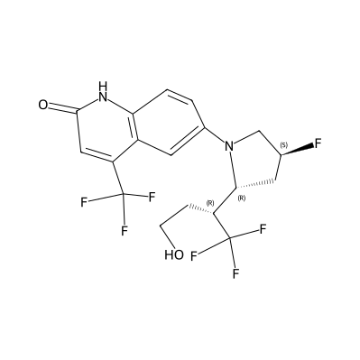 O=c1cc(C(F)(F)F)c2cc(N3C[C@@H](F)C[C@@H]3[C@@H](CCO)C(F)(F)F)ccc2[nH]1